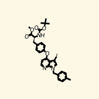 COC(=O)[C@H](Cc1ccc(Oc2ccnc3c2c(I)cn3Cc2ccc(C)cc2)cc1)NC(=O)OC(C)(C)C